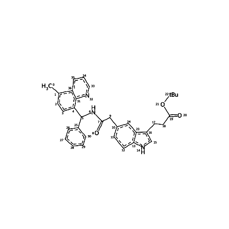 Cc1ccc(C(NC(=O)Cc2ccc3[nH]cc(CCC(=O)OC(C)(C)C)c3c2)c2ccccc2)c2ncccc12